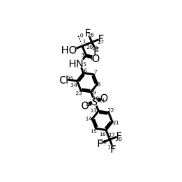 C[C@@](O)(C(=O)Nc1ccc(S(=O)(=O)c2ccc(C(F)(F)F)cc2)cc1Cl)C(F)(F)F